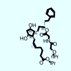 CCCOCC(=O)NCC(=O)O[C@@H](CCc1ccccc1)CC[C@@H]1[C@@H](C/C=C\CCCC(=O)OC(C)C)[C@@H](O)C[C@H]1O